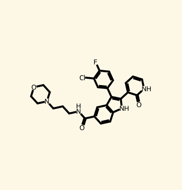 O=C(NCCCN1CCOCC1)c1ccc2[nH]c(-c3ccc[nH]c3=O)c(-c3ccc(F)c(Cl)c3)c2c1